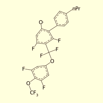 CCCc1ccc(-c2c([O])cc(F)c(C(F)(F)Oc3cc(F)c(OC(F)(F)F)c(F)c3)c2F)cc1